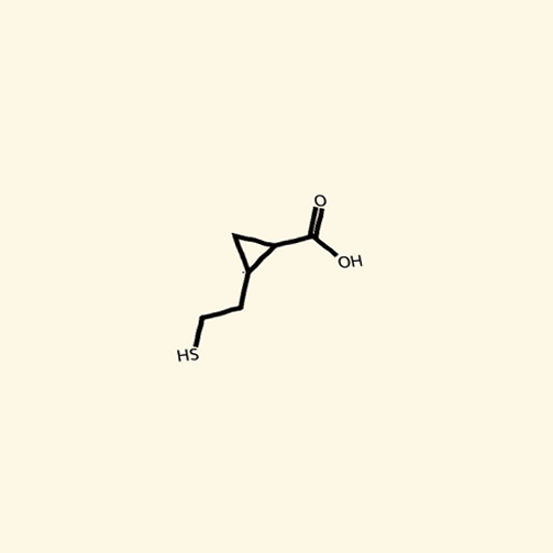 O=C(O)C1C[C]1CCS